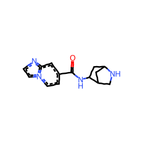 O=C(NC1CC2CC1CN2)c1ccn2ccnc2c1